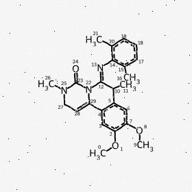 COc1cc2c(cc1OC)C(C)C(=Nc1c(C)cccc1C)N1C(=O)N(C)CC=C21